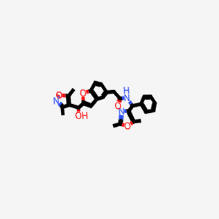 Cc1nc(C(NC(=O)Cc2ccc3oc(C(O)c4c(C)noc4C)cc3c2)c2ccccc2)c(C)o1